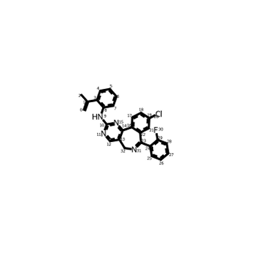 C=C(C)c1ccccc1Nc1ncc2c(n1)-c1ccc(Cl)cc1C(c1ccccc1F)=NC2